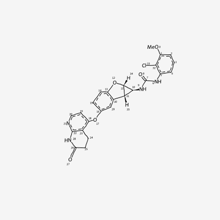 COc1cccc(NC(=O)N[C@@H]2[C@H]3Oc4ccc(Oc5ccnc6c5CCC(=O)N6)cc4[C@@H]23)c1Cl